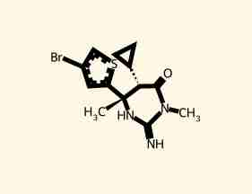 CN1C(=N)N[C@](C)(c2cc(Br)cs2)[C@H](C2CC2)C1=O